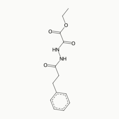 CCOC(=O)C(=O)NNC(=O)CCc1ccccc1